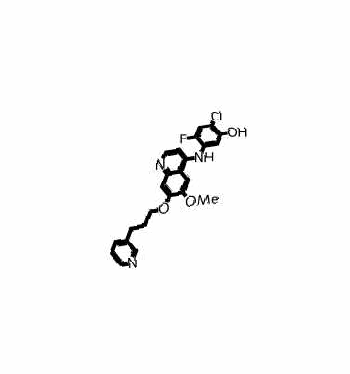 COc1cc2c(Nc3cc(O)c(Cl)cc3F)ccnc2cc1OCCCc1cccnc1